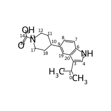 CC(C)c1c[nH]c2ccc(C3CCN(C(=O)O)CC3)cc12